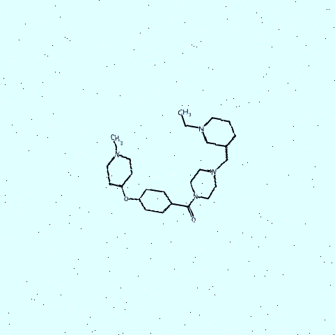 CCN1CCCC(CN2CCN(C(=O)C3CCC(OC4CCN(C)CC4)CC3)CC2)C1